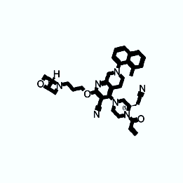 C=CC(=O)N1CCN(c2c(C#N)c(OCCCN3CC4OC[C@@H]43)nc3c2CCN(c2cccc4cccc(C)c24)C3)C[C@@H]1CC#N